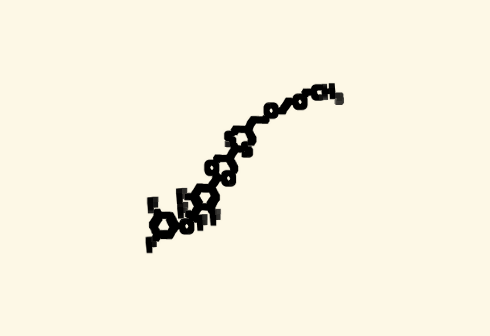 CCOCCOCCC1CSC(C2COC(c3cc(F)c(C(F)(F)Oc4cc(F)cc(F)c4)c(F)c3)OC2)SC1